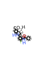 CC1(C)Cc2cc(C(=O)O)ccc2NC1c1ccc(F)c(NC(=O)C2CCCCC2)c1